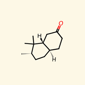 C[C@H]1CC[C@@H]2CCC(=O)C[C@H]2C1(C)C